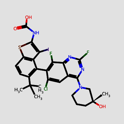 CC(C)(C)c1ccc2sc(NC(=O)O)c(I)c2c1-c1c(Cl)cc2c(N3CCC[C@@](C)(O)C3)nc(F)nc2c1F